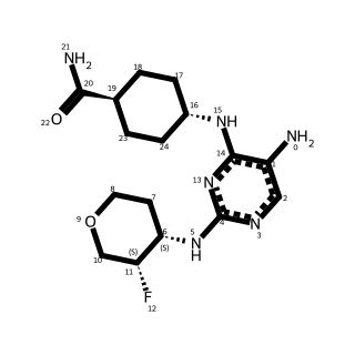 Nc1cnc(N[C@H]2CCOC[C@H]2F)nc1N[C@H]1CC[C@H](C(N)=O)CC1